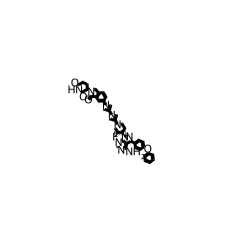 Nc1ncnc2c1c(-c1ccc(Oc3ccccc3)cc1)nn2[C@@H]1CCN(C2CN(C3CN(c4ccc5c(c4)C(=O)N(C4CCC(=O)NC4=O)C5)C3)C2)C[C@@H]1F